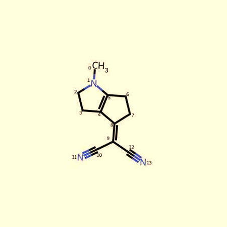 CN1CCC2=C1CCC2=C(C#N)C#N